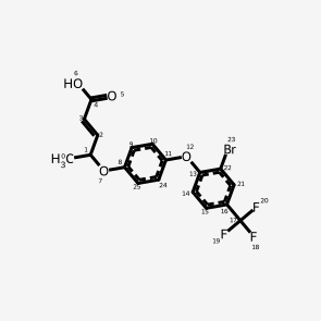 CC(/C=C/C(=O)O)Oc1ccc(Oc2ccc(C(F)(F)F)cc2Br)cc1